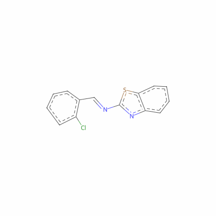 Clc1ccccc1/C=N/c1nc2ccccc2s1